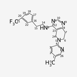 Cc1ccc(N2CCc3ncnc(NCCc4cccc(C(F)(F)F)c4)c3C2)nc1